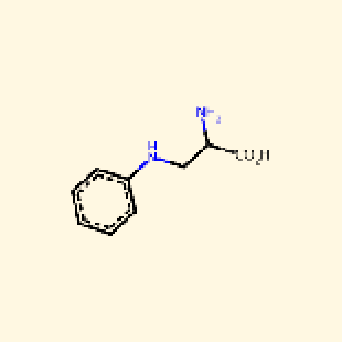 NC(CNc1ccccc1)C(=O)O